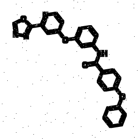 O=C(Nc1cccc(Oc2ccnc(-c3nnco3)c2)c1)c1ccc(Oc2ccccc2)cc1